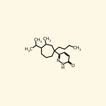 CCCCC1(c2ccc(=O)[nH]n2)CCCC(C(C)C)C(C)C1